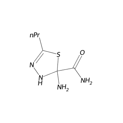 CCCC1=NNC(N)(C(N)=O)S1